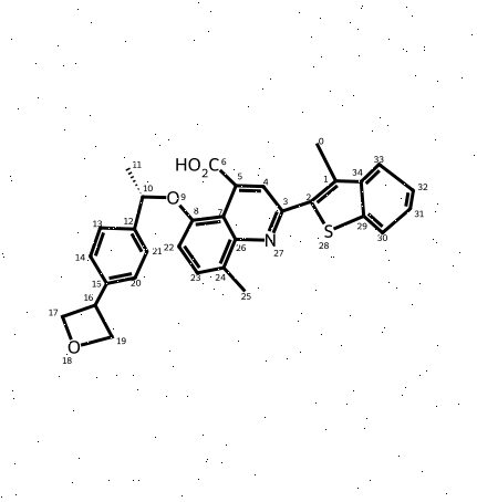 Cc1c(-c2cc(C(=O)O)c3c(O[C@@H](C)c4ccc(C5COC5)cc4)ccc(C)c3n2)sc2ccccc12